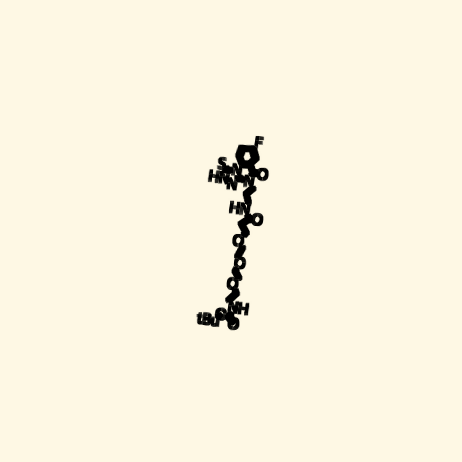 CC(C)(C)OC(=O)NCCOCCOCCOCCC(=O)NCCCn1c(=O)c2cc(F)ccc2n2c(=S)[nH]nc12